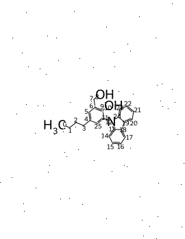 CCCCc1cc(CO)c(O)c(-n2c3ccccc3c3ccccc32)c1